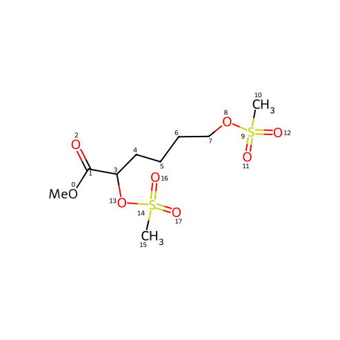 COC(=O)C(CCCCOS(C)(=O)=O)OS(C)(=O)=O